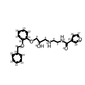 O=C(NCCNCC(O)COc1ccccc1OCc1ccccc1)c1ccoc1